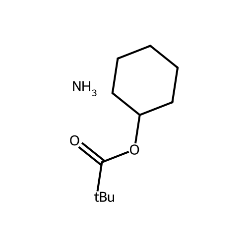 CC(C)(C)C(=O)OC1CCCCC1.N